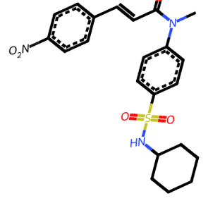 CN(C(=O)/C=C/c1ccc([N+](=O)[O-])cc1)c1ccc(S(=O)(=O)NC2CCCCC2)cc1